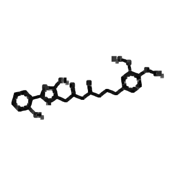 COc1ccc(CCCC(=O)CC(=O)Cc2nc(-c3ccccc3C)oc2C)cc1OC